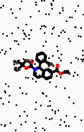 COC(=O)c1ccc2c(c1)C(c1ccccc1C)N(C(=O)OC(C)(C)C)CC2